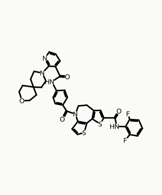 O=C(Nc1c(F)cccc1F)c1cc2c(s1)-c1sccc1N(C(=O)c1ccc(NC(=O)c3cccnc3N3CCC4(CCOCC4)CC3)cc1)CC2